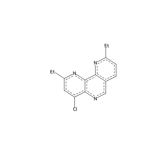 CCc1ccc2cnc3c(Cl)cc(CC)nc3c2n1